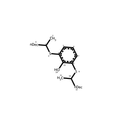 CCCCCCCCCCC(C)Sc1cccc(SC(C)CCCCCCCCCC)c1O